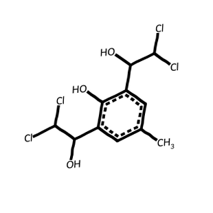 Cc1cc(C(O)C(Cl)Cl)c(O)c(C(O)C(Cl)Cl)c1